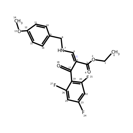 CCOC(=O)/C(=C/NCc1ccc(OC)cc1)C(=O)c1c(F)cc(F)cc1F